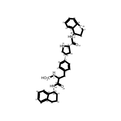 O=C(O)NC(Cc1ccc([C@@H]2CN[C@H](C(=O)N[C@@H]3CCCc4ccccc43)C2)cc1)C(=O)N[C@@H]1CCCc2ccccc21